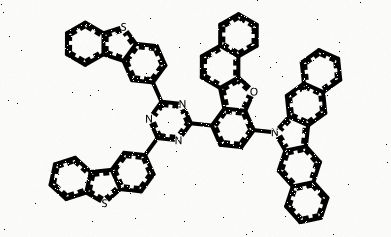 c1ccc2cc3c(cc2c1)c1cc2ccccc2cc1n3-c1ccc(-c2nc(-c3ccc4sc5ccccc5c4c3)nc(-c3ccc4sc5ccccc5c4c3)n2)c2c1oc1c3ccccc3ccc12